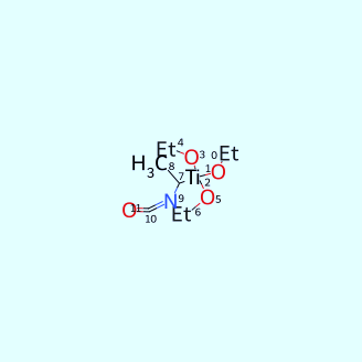 CC[O][Ti]([O]CC)([O]CC)[CH](C)N=C=O